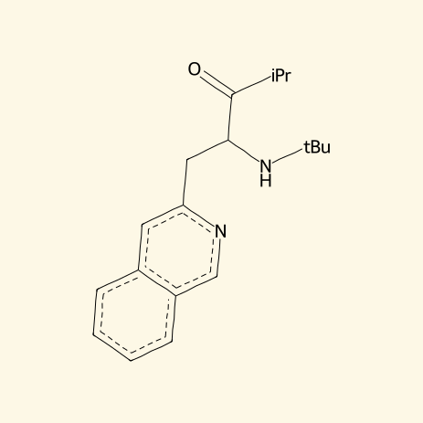 CC(C)C(=O)C(Cc1cc2ccccc2cn1)NC(C)(C)C